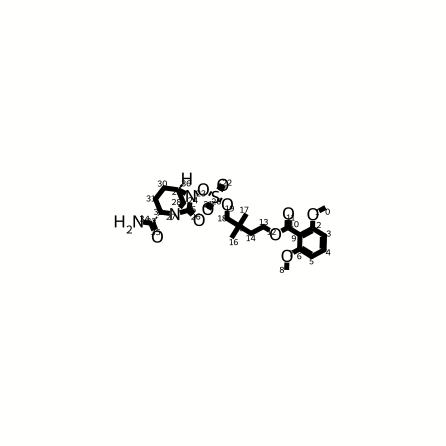 COc1cccc(OC)c1C(=O)OCCC(C)(C)COS(=O)(=O)ON1C(=O)N2C[C@H]1CC[C@H]2C(N)=O